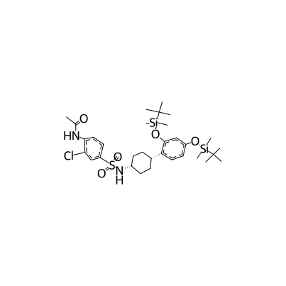 CC(=O)Nc1ccc(S(=O)(=O)N[C@H]2CC[C@@H](c3ccc(O[Si](C)(C)C(C)(C)C)cc3O[Si](C)(C)C(C)(C)C)CC2)cc1Cl